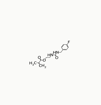 C=C(C)C(=O)OCCNC(=O)NCc1ccc(F)cc1